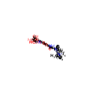 C[N+]1=C(/C=C/C=C2/N(CCCCC(=O)NCCOCCOCCNCCOC3OC(CO)C(O)C(O)C3O)c3ccccc3C2(C)C)C(C)(C)c2ccccc21